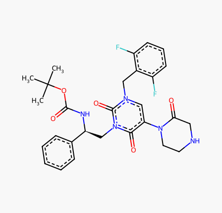 CC(C)(C)OC(=O)N[C@@H](Cn1c(=O)c(N2CCNCC2=O)cn(Cc2c(F)cccc2F)c1=O)c1ccccc1